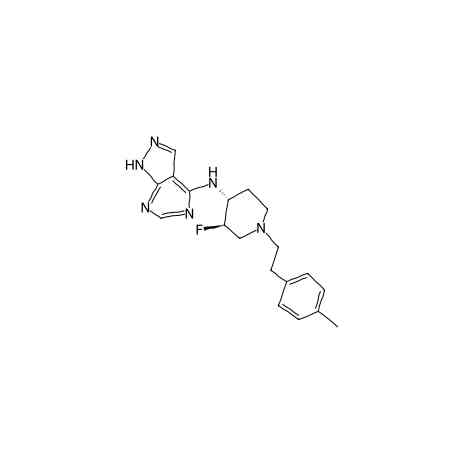 Cc1ccc(CCN2CC[C@@H](Nc3ncnc4[nH]ncc34)[C@H](F)C2)cc1